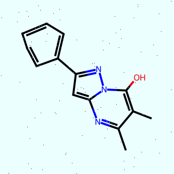 Cc1nc2cc(-c3ccccc3)nn2c(O)c1C